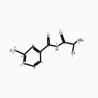 CCCCC(CC)C(=O)NC(=O)c1ccnc([N+](=O)[O-])c1